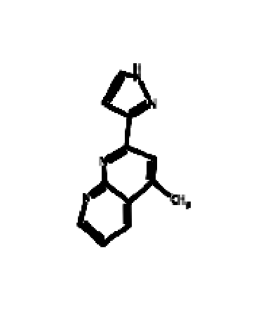 Cc1cc(-c2cc[nH]n2)nc2ncccc12